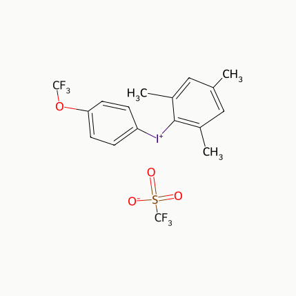 Cc1cc(C)c([I+]c2ccc(OC(F)(F)F)cc2)c(C)c1.O=S(=O)([O-])C(F)(F)F